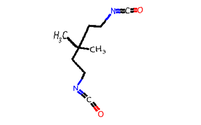 CC(C)(CCN=C=O)CCN=C=O